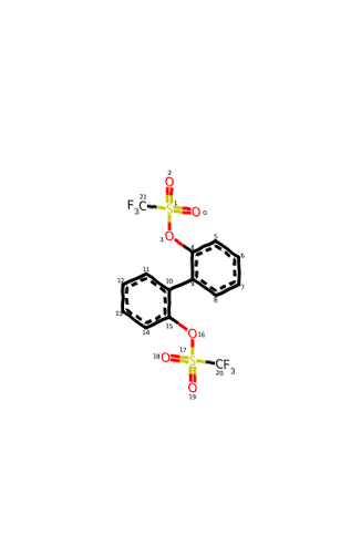 O=S(=O)(Oc1ccccc1-c1ccccc1OS(=O)(=O)C(F)(F)F)C(F)(F)F